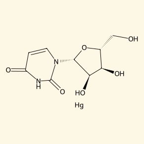 O=c1ccn([C@@H]2O[C@H](CO)[C@@H](O)[C@H]2O)c(=O)[nH]1.[Hg]